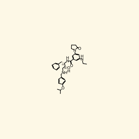 CCNc1cc(C(=O)N[C@@H](Cc2ccccc2)[C@H](O)CNCc2ccc(OC(C)C)cc2)cc(N2CCCC2=O)c1